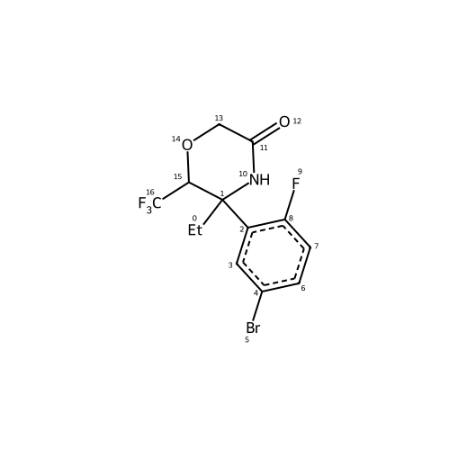 CCC1(c2cc(Br)ccc2F)NC(=O)COC1C(F)(F)F